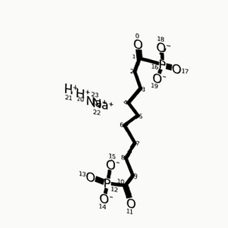 O=C(CCCCCCCCC(=O)P(=O)([O-])[O-])P(=O)([O-])[O-].[H+].[H+].[Na+].[Na+]